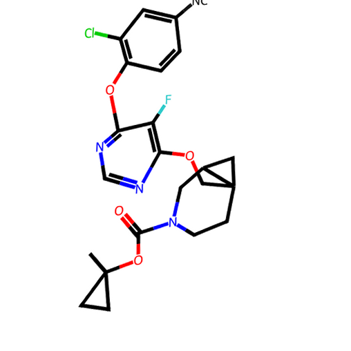 [C-]#[N+]c1ccc(Oc2ncnc(OCC34CCN(C(=O)OC5(C)CC5)CC3C4)c2F)c(Cl)c1